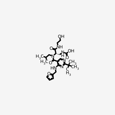 CC(C)CN(C(=O)c1cnc(C(C)(C)C)nc1NCc1ccco1)[C@@H](CNC(=O)O)C(=O)NCCO